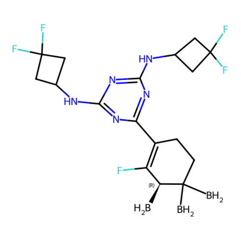 B[C@H]1C(F)=C(c2nc(NC3CC(F)(F)C3)nc(NC3CC(F)(F)C3)n2)CCC1(B)B